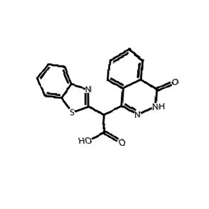 O=C(O)C(c1nc2ccccc2s1)c1n[nH]c(=O)c2ccccc12